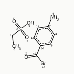 CCS(=O)(=O)O.Nc1ccc(C(=O)Br)cc1